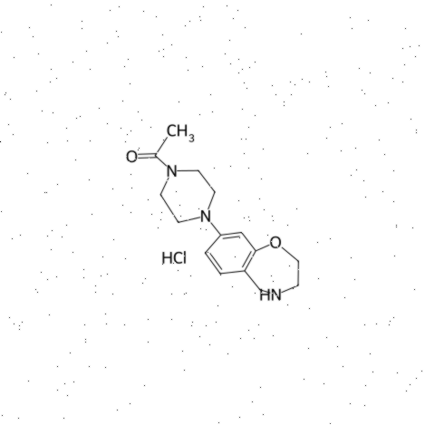 CC(=O)N1CCN(c2ccc3c(c2)OCCNC3)CC1.Cl